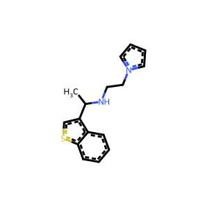 CC(NCCn1cccc1)c1csc2ccccc12